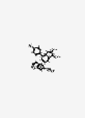 CC1=C2c3occc3C1[Si]2(C)C.CCC(C)c1ccc(-c2cccc3c2C=C(C(C)C)[CH]3[Zr+2])cc1.[Cl-].[Cl-]